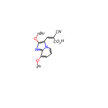 CCCCOc1nc2c(OC(C)C)cccn2c1C=C(C#N)C(=O)O